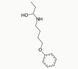 CCC(O)NCCCCOc1ccccc1